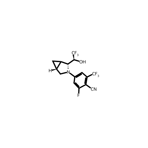 N#Cc1c(F)cc(N2C[C@@H]3CC3[C@@H]2[C@H](O)C(F)(F)F)cc1C(F)(F)F